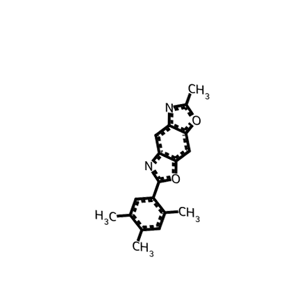 Cc1nc2cc3nc(-c4cc(C)c(C)cc4C)oc3cc2o1